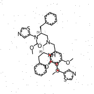 COC(=O)N(c1cncs1)[C@@H](Cc1ccccc1)CN(Cc1ccc(OC)c(OC)c1)C[C@@H](Cc1ccccc1)NC(=O)OCc1cncs1